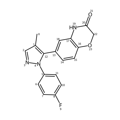 Cc1cnn(-c2ccc(F)cc2)c1-c1ccc2c(c1)NC(=O)CO2